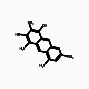 Nc1cc(N)c2cc3c(N)c(O)c(N)c(O)c3cc2c1